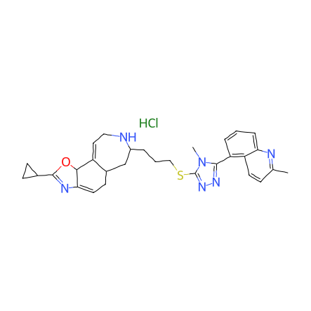 Cc1ccc2c(-c3nnc(SCCCC4CC5CC=C6N=C(C7CC7)OC6C5=CCN4)n3C)cccc2n1.Cl